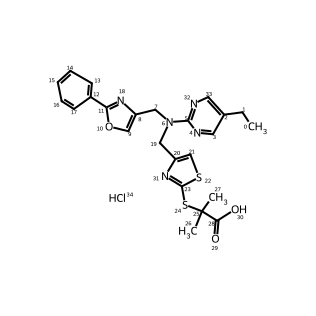 CCc1cnc(N(Cc2coc(-c3ccccc3)n2)Cc2csc(SC(C)(C)C(=O)O)n2)nc1.Cl